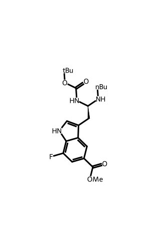 CCCCN[C@@H](Cc1c[nH]c2c(F)cc(C(=O)OC)cc12)NC(=O)OC(C)(C)C